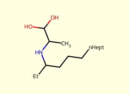 C[CH]C(CCCCCCCCCC)NC(C)C(O)O